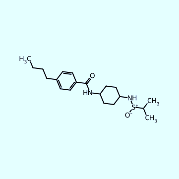 CCCCc1ccc(C(=O)NC2CCC(N[S+]([O-])C(C)C)CC2)cc1